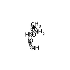 Cc1cnc2c(N)c(C(=O)NC3CCc4nc(N5CC6CCNCC65)ccc4C3)sc2n1